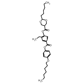 CCCCCCCOc1ccc(OC(=O)c2ccc(OC(=O)C3COC(CCCCCC)OC3)c(CC)c2)cc1